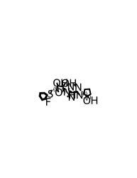 OC1C(O)[C@@H](CSc2ccccc2F)O[C@H]1n1cnc2c(N[C@@H]3CCC[C@H]3O)ncnc21